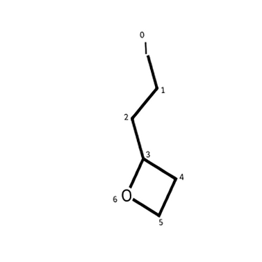 ICCC1CCO1